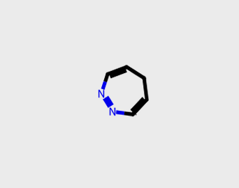 [C]1=CCC=CN=N1